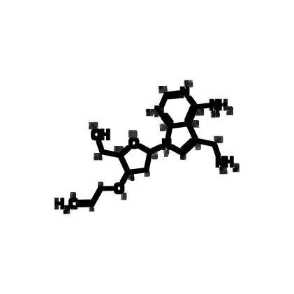 C=CCOC1CC(n2cc(CN)c3c(N)ncnc32)OC1CO